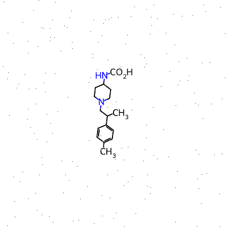 Cc1ccc(C(C)CN2CCC(NC(=O)O)CC2)cc1